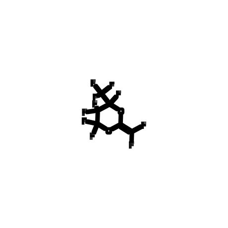 FC(F)=C1OC(F)(F)C(F)(F)C(F)(C(F)(F)F)O1